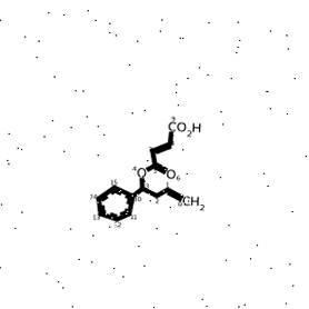 C=CCC(OC(=O)C=CC(=O)O)c1ccccc1